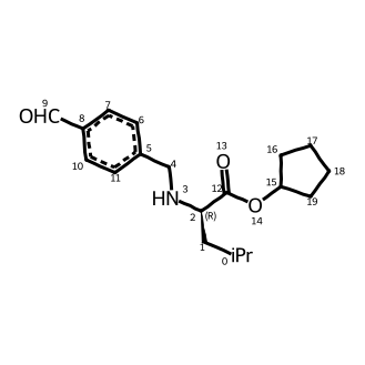 CC(C)C[C@@H](NCc1ccc(C=O)cc1)C(=O)OC1CCCC1